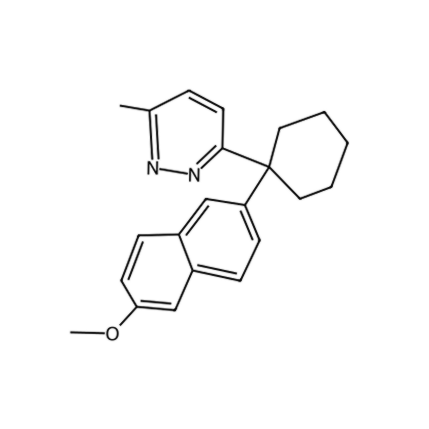 COc1ccc2cc(C3(c4ccc(C)nn4)CCCCC3)ccc2c1